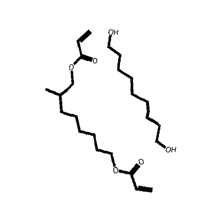 C=CC(=O)OCCCCCCC(C)COC(=O)C=C.OCCCCCCCCCO